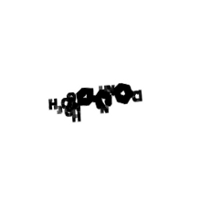 CS(=O)(=O)Nc1cccc(-c2cncc(Nc3ccc(Cl)cc3)c2)c1